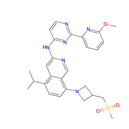 COc1cccc(-c2nccc(Nc3cc4c(C(C)C)ccc(N5CC(CS(C)(=O)=O)C5)c4cn3)n2)n1